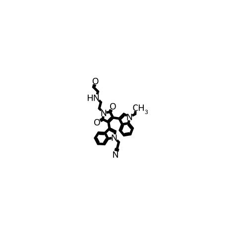 CCn1cc(C2=C(c3cn(CC#N)c4ccccc34)C(=O)N(CCNCC=O)C2=O)c2ccccc21